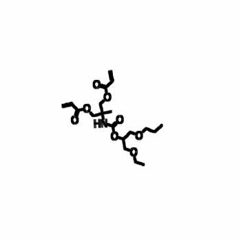 C=CC(=O)OCC(C)(COC(=O)C=C)NC(=O)OC(COCC)COCCC